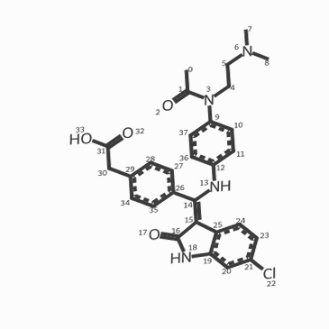 CC(=O)N(CCN(C)C)c1ccc(NC(=C2C(=O)Nc3cc(Cl)ccc32)c2ccc(CC(=O)O)cc2)cc1